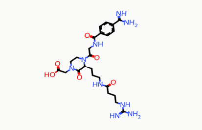 N=C(N)NCCCC(=O)NCCC[C@H]1C(=O)N(CC(=O)O)CCN1C(=O)CNC(=O)c1ccc(C(=N)N)cc1